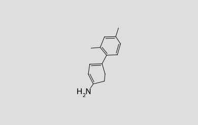 Cc1ccc(C2=CC=C(N)CC2)c(C)c1